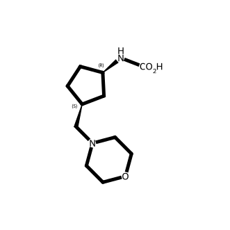 O=C(O)N[C@@H]1CC[C@H](CN2CCOCC2)C1